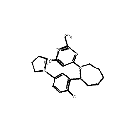 Cc1cc(N2CCCCCC2c2cc(N3CCCC3)ccc2Cl)nc(N)n1